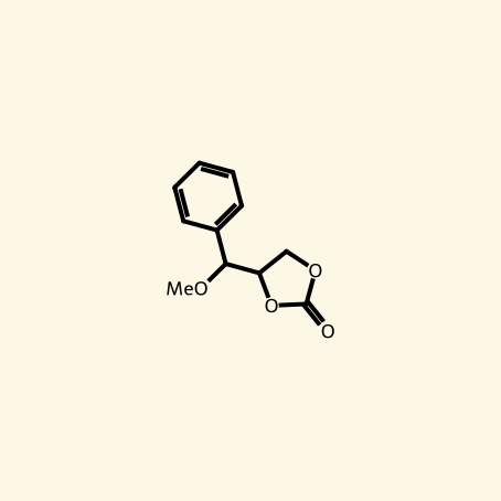 COC(c1ccccc1)C1COC(=O)O1